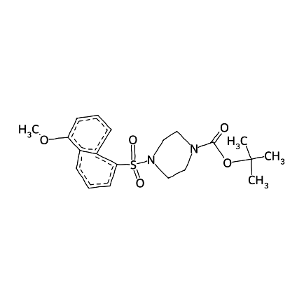 COc1cccc2c(S(=O)(=O)N3CCN(C(=O)OC(C)(C)C)CC3)cccc12